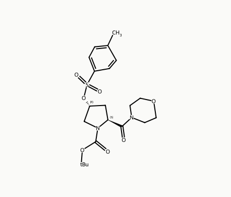 Cc1ccc(S(=O)(=O)O[C@@H]2C[C@@H](C(=O)N3CCOCC3)N(C(=O)OC(C)(C)C)C2)cc1